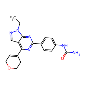 NC(=O)Nc1ccc(-c2nc(C3=CCOCC3)c3cnn(CC(F)(F)F)c3n2)cc1